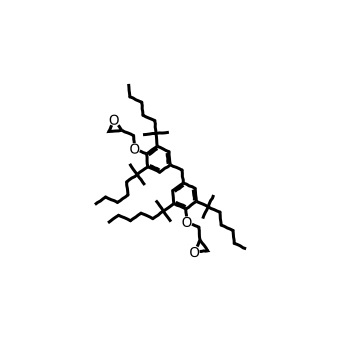 CCCCCC(C)(C)c1cc(Cc2cc(C(C)(C)CCCCC)c(OCC3CO3)c(C(C)(C)CCCCC)c2)cc(C(C)(C)CCCCC)c1OCC1CO1